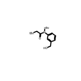 CCCCN(C(=O)CC(C)(C)C)c1cccc(CO)c1